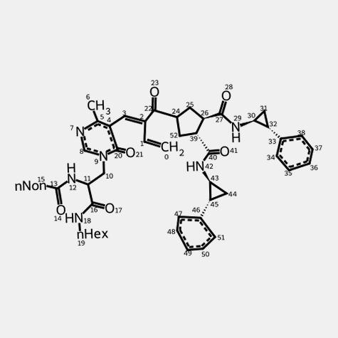 C=C/C(=C\c1c(C)ncn(CC(NC(=O)CCCCCCCCC)C(=O)NCCCCCC)c1=O)C(=O)C1C[C@@H](C(=O)N[C@H]2C[C@@H]2c2ccccc2)[C@H](C(=O)N[C@H]2C[C@@H]2c2ccccc2)C1